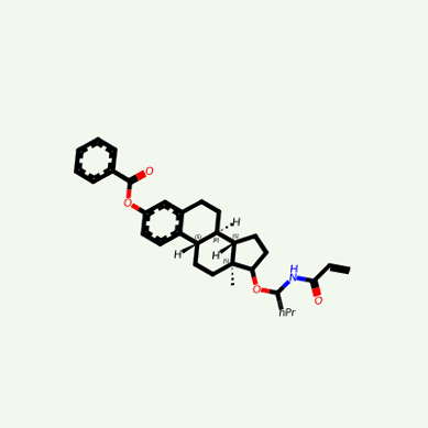 C=CC(=O)NC(CCC)OC1CC[C@H]2[C@@H]3CCc4cc(OC(=O)c5ccccc5)ccc4[C@H]3CC[C@]12C